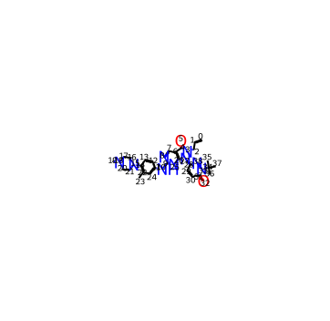 C=CCn1c(=O)c2cnc(Nc3ccc(N4CCN(C)CC4)c(C)c3)nc2n1-c1ccc(=O)n(C(C)(C)C)n1